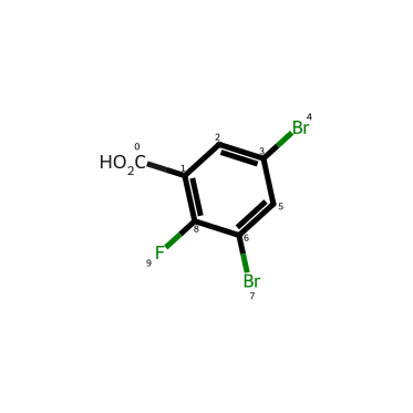 O=C(O)c1cc(Br)cc(Br)c1F